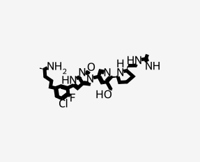 CC(=N)NCC[C@@H]1CCC[C@@H](c2ncc(-n3cc4cc(-c5cc(CCC[C@H](C)N)cc(Cl)c5F)[nH]c4nc3=O)cc2CO)N1